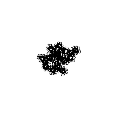 c1ccc(N(c2ccc3c(c2)c2ccccc2n3-c2ccccc2)c2nc(N(c3ccccc3)c3ccc4c(c3)c3ccccc3n4-c3ccccc3)nc(N(c3ccccc3)c3ccc4c5ccccc5n(-c5ccccc5)c4c3)n2)cc1